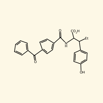 CCC(c1ccc(O)cc1)C(NC(=O)c1ccc(C(=O)c2ccccc2)cc1)C(=O)O